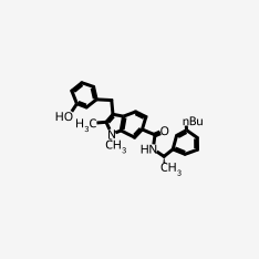 CCCCc1cccc([C@H](C)NC(=O)c2ccc3c(Cc4cccc(O)c4)c(C)n(C)c3c2)c1